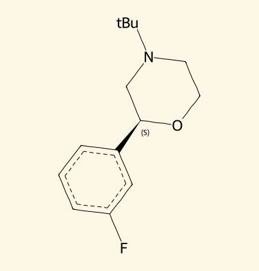 CC(C)(C)N1CCO[C@@H](c2cccc(F)c2)C1